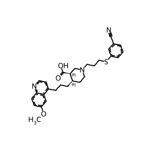 COc1ccc2nccc(CCC[C@@H]3CCN(CCCSc4cccc(C#N)c4)C[C@@H]3C(=O)O)c2c1